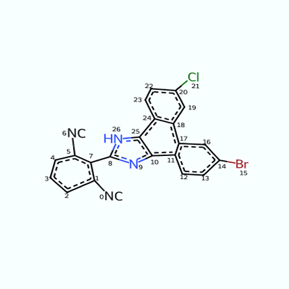 [C-]#[N+]c1cccc([N+]#[C-])c1-c1nc2c3ccc(Br)cc3c3cc(Cl)ccc3c2[nH]1